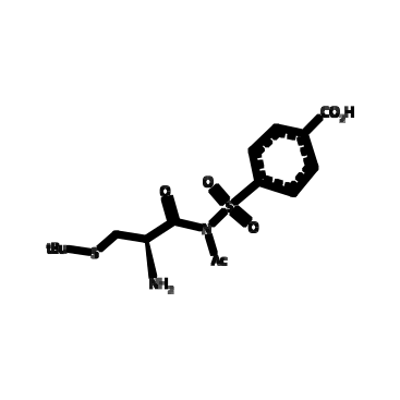 CC(=O)N(C(=O)[C@@H](N)CSC(C)(C)C)S(=O)(=O)c1ccc(C(=O)O)cc1